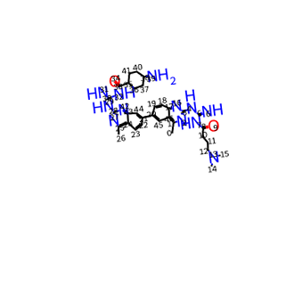 Cc1nc(NC(=N)NC(=O)CCCN(C)C)nc2ccc(-c3ccc4c(C)nc(NC(=N)NC(=O)C5CCC(N)CC5)nc4c3)cc12